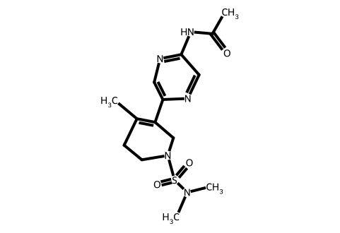 CC(=O)Nc1cnc(C2=C(C)CCN(S(=O)(=O)N(C)C)C2)cn1